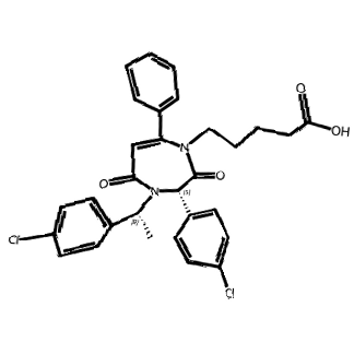 C[C@H](c1ccc(Cl)cc1)N1C(=O)C=C(c2ccccc2)N(CCCCC(=O)O)C(=O)[C@@H]1c1ccc(Cl)cc1